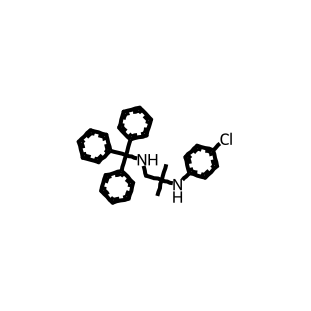 CC(C)(CNC(c1ccccc1)(c1ccccc1)c1ccccc1)Nc1ccc(Cl)cc1